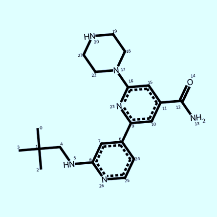 CC(C)(C)CNc1cc(-c2cc(C(N)=O)cc(N3CCNCC3)n2)ccn1